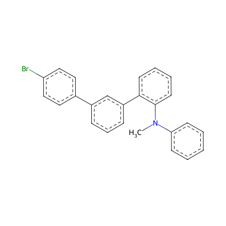 CN(c1ccccc1)c1ccccc1-c1cccc(-c2ccc(Br)cc2)c1